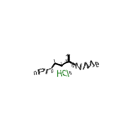 CCCCCC(C)NC.Cl